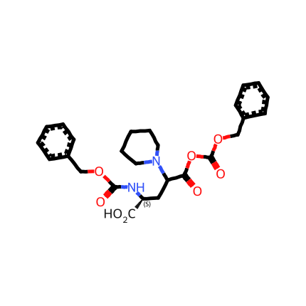 O=C(N[C@@H](CC(C(=O)OC(=O)OCc1ccccc1)N1CCCCC1)C(=O)O)OCc1ccccc1